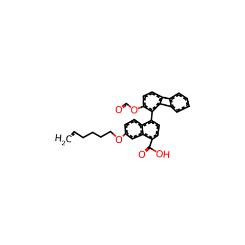 C=CCCCCOc1ccc2c(-c3c(OC=O)ccc4c3-c3ccccc3-4)ccc(C(=O)O)c2c1